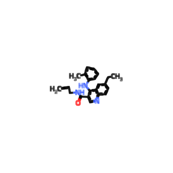 C=CCNC(=O)c1cnc2ccc(CC)cc2c1Nc1ccccc1C